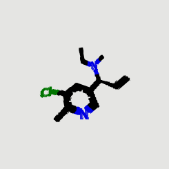 CC[C@@H](c1cnc(C)c(Cl)c1)N(C)CC